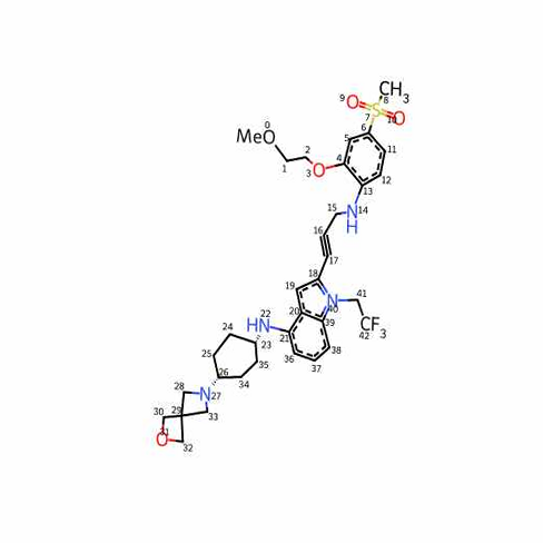 COCCOc1cc(S(C)(=O)=O)ccc1NCC#Cc1cc2c(N[C@H]3CC[C@@H](N4CC5(COC5)C4)CC3)cccc2n1CC(F)(F)F